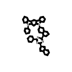 c1ccc(-c2nc(-c3ccc4ccccc4c3)nc(-c3cccc4cc(-n5c6ccccc6c6cc7c8ccccc8n(-c8ccccc8)c7cc65)ccc34)n2)cc1